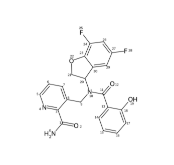 NC(=O)c1ncccc1CN(C(=O)c1ccccc1O)C1COc2c(F)cc(F)cc21